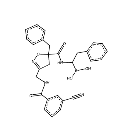 N#Cc1cccc(C(=O)NCC2=NOC(Cc3ccccc3)(C(=O)NC(Cc3ccccc3)B(O)O)C2)c1